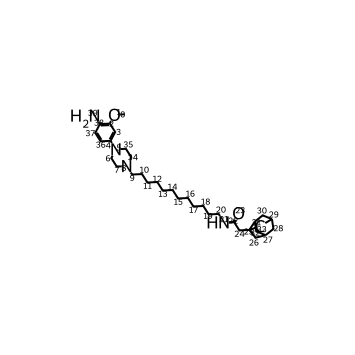 COc1cc(N2CCN(CCCCCCCCCCCCNC(=O)CC34CC5CC(CC3C5)C4)CC2)ccc1N